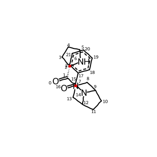 O=C([C@@H]1CCCN1)N1CC2CCC(C1)N2C(=O)c1ccccc1